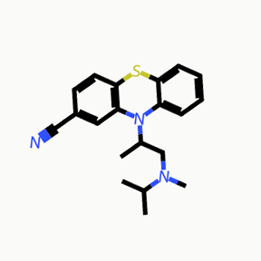 CC(C)N(C)CC(C)N1c2ccccc2Sc2ccc(C#N)cc21